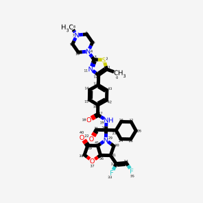 Cc1sc(N2CCN(C)CC2)nc1-c1ccc(C(=O)NC(C=O)(C2CCCCC2)N2CC(/C(F)=C/F)C3OCC(=O)C32)cc1